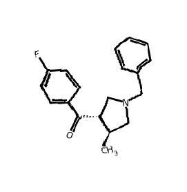 C[C@@H]1CN(Cc2ccccc2)C[C@H]1C(=O)c1ccc(F)cc1